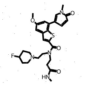 CNC(=O)CCN(CCN1CCC(F)CC1)C(=O)c1cc2cc(OC)cc(-c3ccc(=O)n(C)c3)c2s1